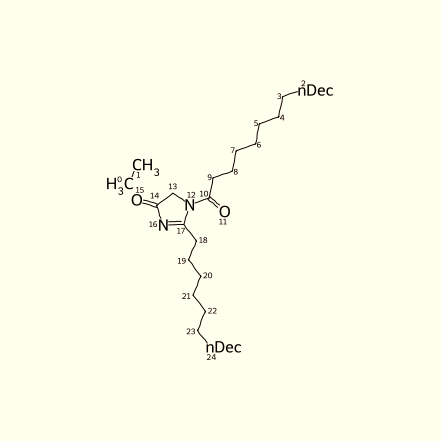 CC.CCCCCCCCCCCCCCCCCC(=O)N1CC(=O)N=C1CCCCCCCCCCCCCCCC